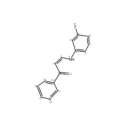 O=C(/C=C\Nc1cccc(F)c1)c1cccnc1